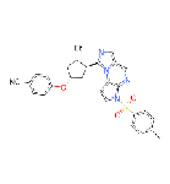 CCC1C[C@@H](Oc2ccc(C#N)cc2)C[C@@H]1c1ncc2cnc3c(ccn3S(=O)(=O)c3ccc(C)cc3)n12